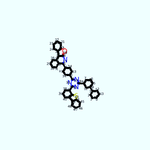 c1ccc(-c2cccc(-c3nc(-c4ccc(-c5nc6oc7ccccc7c6c6ccccc56)cc4)nc(-c4cccc5c4sc4ccccc45)n3)c2)cc1